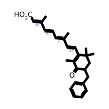 CC1=C(/C=C/C(C)=C/C=C/C(C)=C/C(=O)O)C(C)(C)CC(Cc2ccccc2)C1=O